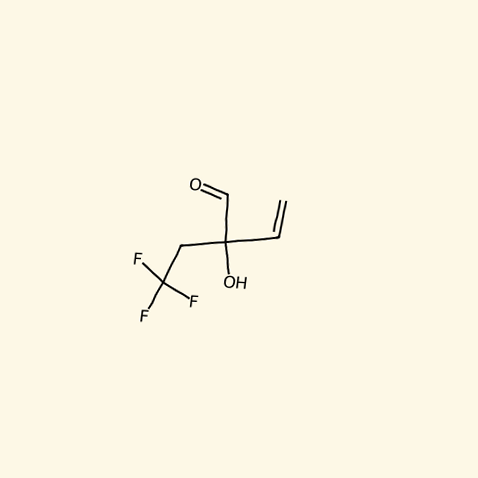 C=CC(O)(C=O)CC(F)(F)F